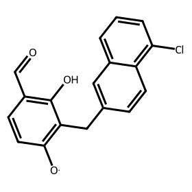 [O]c1ccc(C=O)c(O)c1Cc1ccc2c(Cl)cccc2c1